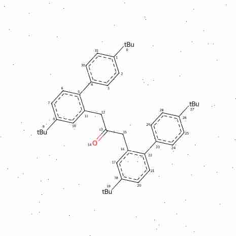 CC(C)(C)c1ccc(-c2ccc(C(C)(C)C)cc2CC(=O)Cc2cc(C(C)(C)C)ccc2-c2ccc(C(C)(C)C)cc2)cc1